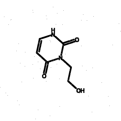 O=c1cc[nH]c(=O)n1CCO